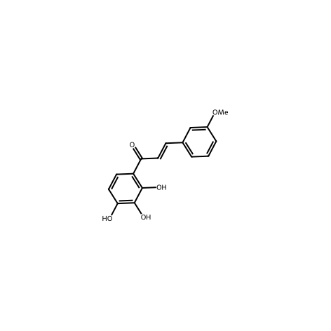 COc1cccc(/C=C/C(=O)c2ccc(O)c(O)c2O)c1